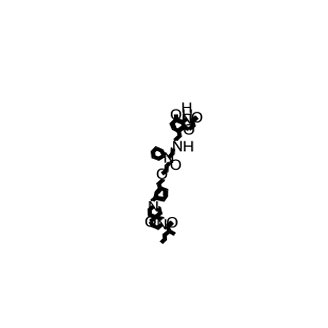 CCCC(C)C(=O)N1CCOC2(CCN(Cc3cccc(CCOCCC(=O)N(CCNCCc4ccc(O)c5c4OCC(=O)N5)C4CCCCC4)c3)CC2)C1